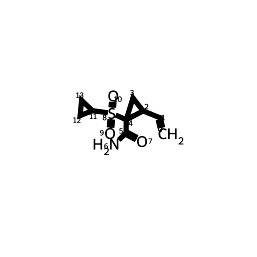 C=CC1CC1(C(N)=O)S(=O)(=O)C1CC1